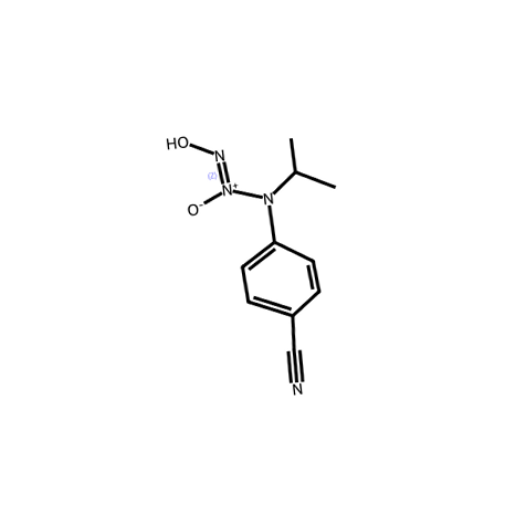 CC(C)N(c1ccc(C#N)cc1)/[N+]([O-])=N/O